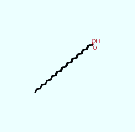 CCCCCCCCC=CC=CC=CC=CC=CC=CC=CC(=O)O